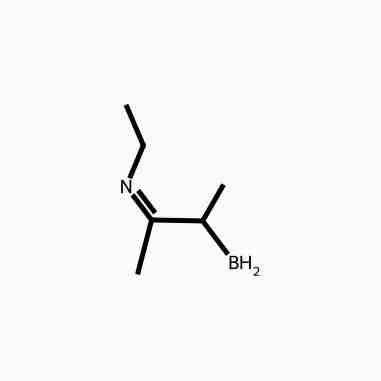 BC(C)/C(C)=N\CC